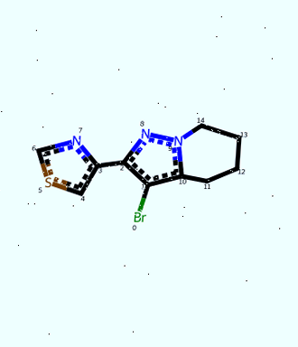 Brc1c(-c2cscn2)nn2c1CCCC2